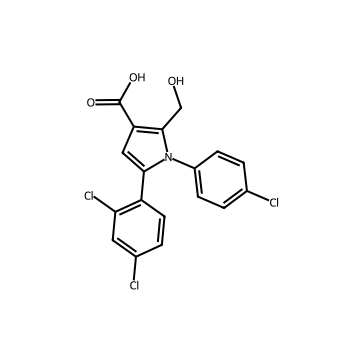 O=C(O)c1cc(-c2ccc(Cl)cc2Cl)n(-c2ccc(Cl)cc2)c1CO